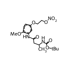 COc1ccc(OCCO[N+](=O)[O-])cc1NC(=O)CC(C)NC(=O)OC(C)(C)C